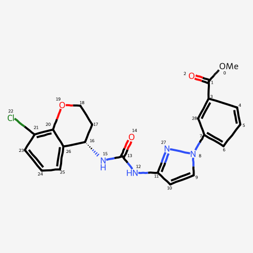 COC(=O)c1cccc(-n2ccc(NC(=O)N[C@H]3CCOc4c(Cl)cccc43)n2)c1